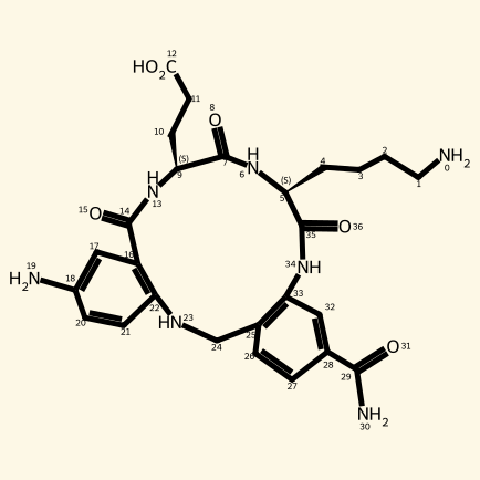 NCCCC[C@@H]1NC(=O)[C@H](CCC(=O)O)NC(=O)c2cc(N)ccc2NCc2ccc(C(N)=O)cc2NC1=O